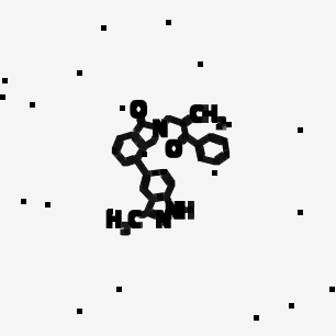 C=C(CN1Cc2c(cccc2-c2ccc3[nH]nc(C)c3c2)C1=O)C(=O)c1ccccc1